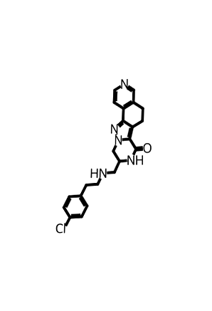 O=C1NC(CNCCc2ccc(Cl)cc2)Cn2nc3c(c21)CCc1cnccc1-3